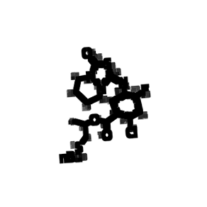 CCCCSCC(C)OC(=O)c1cc(/N=c2/sc(=O)n3n2CCCC3)c(F)cc1Cl